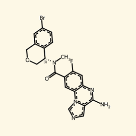 CN(C(=O)c1cc2c(cc1F)nc(N)c1cncn12)[C@@H]1COCc2cc(Br)ccc21